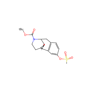 CC(C)(C)OC(=O)N1CCC23CCCCC2C1Cc1ccc(OS(C)(=O)=O)cc13